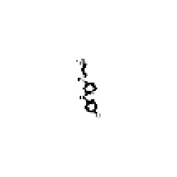 CCc1ccc(Nc2nccc(NCCCN)n2)cc1